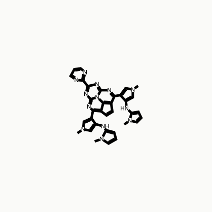 Cn1cc(Nc2cccn2C)c(-c2nc3nc(-c4ncccn4)nc4nc(-c5cn(C)cc5Nc5cccn5C)c5ccc2c5n34)c1